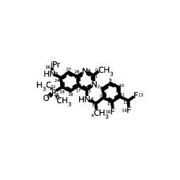 Cc1nc(NC(C)c2cccc(C(F)F)c2F)c2cc(P(C)(C)=O)c(NC(C)C)cc2n1